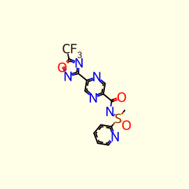 CS(=O)(=NC(=O)c1cnc(-c2noc(C(F)(F)F)n2)cn1)c1ccccn1